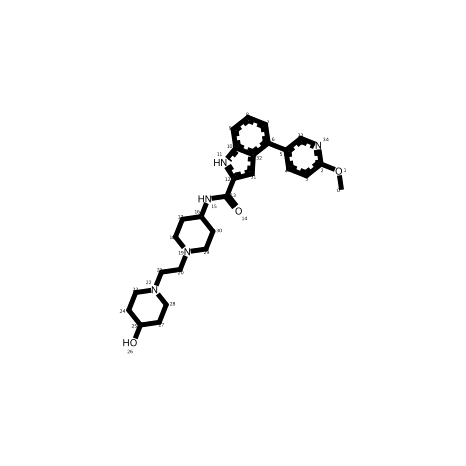 COc1ccc(-c2cccc3[nH]c(C(=O)NC4CCN(CCN5CCC(O)CC5)CC4)cc23)cn1